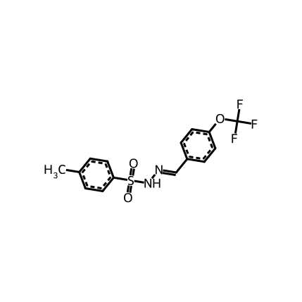 Cc1ccc(S(=O)(=O)NN=Cc2ccc(OC(F)(F)F)cc2)cc1